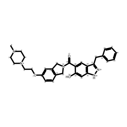 CN1CCN(CCOc2ccc3c(c2)CN(C(=O)c2cc4c(Cc5ccccc5)n[nH]c4cc2O)C3)CC1